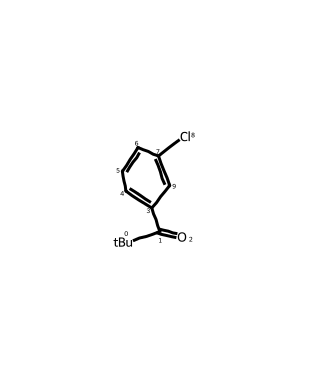 CC(C)(C)C(=O)c1cccc(Cl)c1